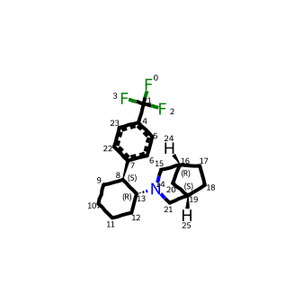 FC(F)(F)c1ccc([C@@H]2C[CH]CC[C@H]2N2C[C@@H]3CC[C@@H](C3)C2)cc1